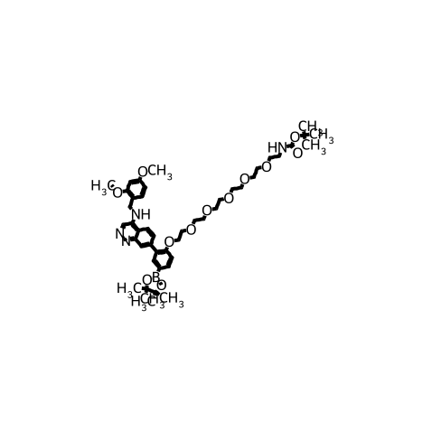 COc1ccc(CNc2cnnc3cc(-c4cc(B5OC(C)(C)C(C)(C)O5)ccc4OCCOCCOCCOCCOCCOCCNC(=O)OC(C)(C)C)ccc23)c(OC)c1